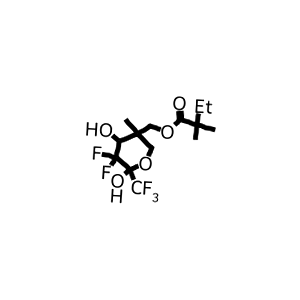 CCC(C)(C)C(=O)OCC1(C)COC(O)(C(F)(F)F)C(F)(F)C1O